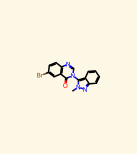 Cn1nc2ccccc2c1-n1cnc2ccc(Br)cc2c1=O